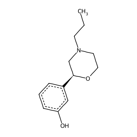 CCCN1CCO[C@@H](c2cccc(O)c2)C1